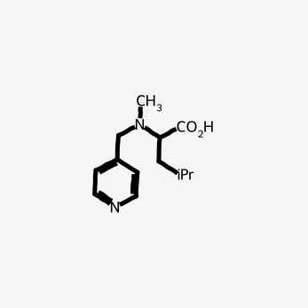 CC(C)CC(C(=O)O)N(C)Cc1ccncc1